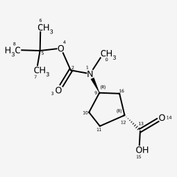 CN(C(=O)OC(C)(C)C)[C@@H]1CC[C@@H](C(=O)O)C1